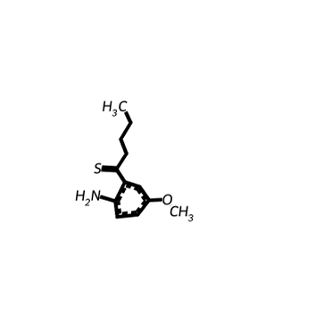 CCCCC(=S)c1cc(OC)ccc1N